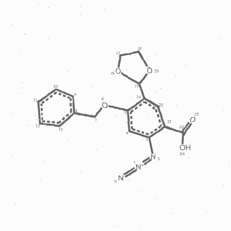 [N-]=[N+]=Nc1cc(OCc2ccccc2)c(C2OCCO2)cc1C(=O)O